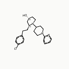 O[C@@H]1CCN(C2CCN(c3ccccn3)CC2)[C@@H](CCc2ccc(Cl)cc2)C1